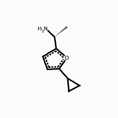 C[C@@H](N)c1ccc(C2CC2)o1